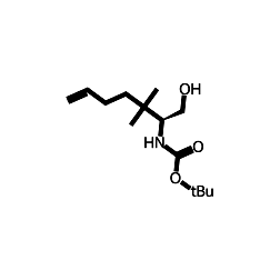 C=CCCC(C)(C)[C@@H](CO)NC(=O)OC(C)(C)C